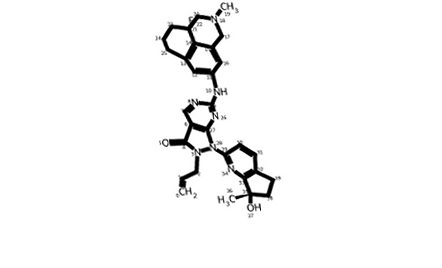 C=CCn1c(=O)c2cnc(Nc3cc4c5c(c3)CN(C)C[C@@]5(F)CCC4)nc2n1-c1ccc2c(n1)[C@@](C)(O)CC2